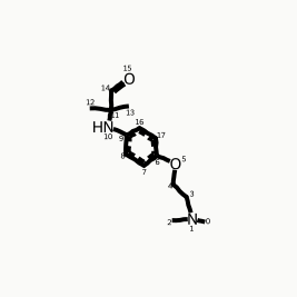 CN(C)CCOc1ccc(NC(C)(C)C=O)cc1